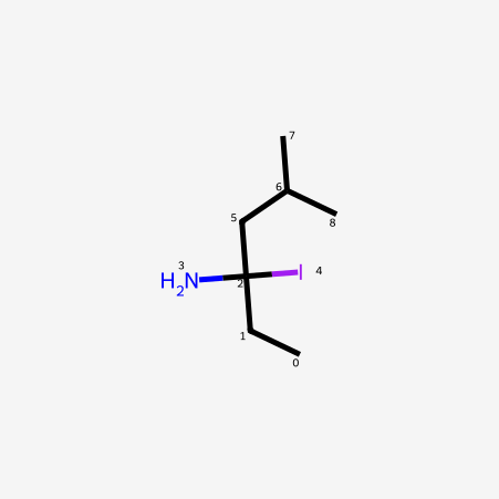 CCC(N)(I)CC(C)C